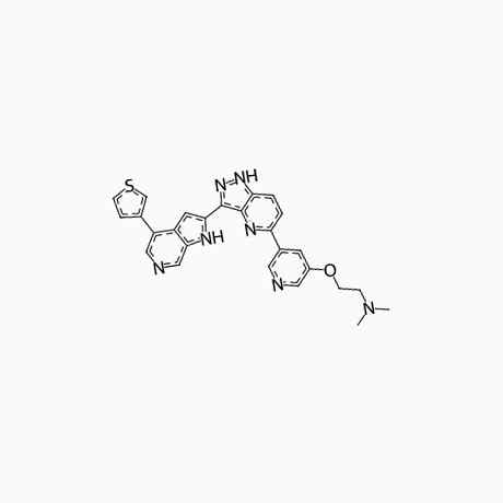 CN(C)CCOc1cncc(-c2ccc3[nH]nc(-c4cc5c(-c6ccsc6)cncc5[nH]4)c3n2)c1